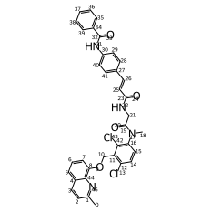 Cc1ccc2cccc(OCc3c(Cl)ccc(N(C)C(=O)CNC(=O)C=Cc4ccc(NC(=O)c5ccccc5)cc4)c3Cl)c2n1